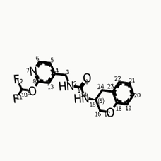 O=C(NCc1ccnc(OC(F)F)c1)N[C@@H]1COc2ccccc2C1